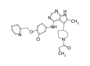 C=CC(=O)N1CCC(c2c(C)[nH]c3ncnc(Nc4ccc(OCc5ccccn5)c(Cl)c4)c23)CC1